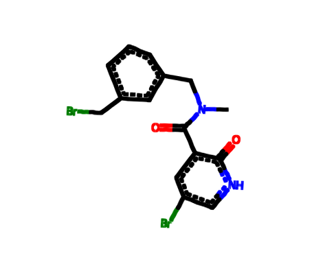 CN(Cc1cccc(CBr)c1)C(=O)c1cc(Br)c[nH]c1=O